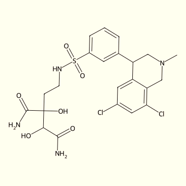 CN1Cc2c(Cl)cc(Cl)cc2C(c2cccc(S(=O)(=O)NCCC(O)(C(N)=O)C(O)C(N)=O)c2)C1